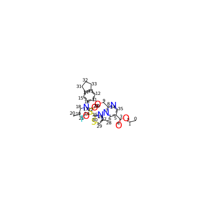 CCOC(=O)c1cnc(COc2cc3c(cc2N(C[C@H](C)F)S(=O)(=O)c2nc(C)cs2)CCC3)nc1